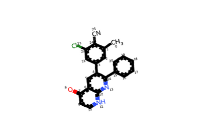 Cc1cc(-c2cc3c(=O)cc[nH]c3nc2-c2ccccc2)cc(Cl)c1C#N